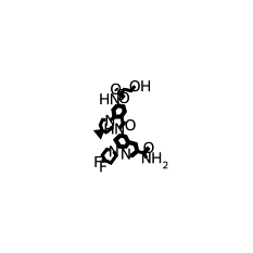 NC(=O)c1cnc2c(N3CCC(F)(F)CC3)cc(NC(=O)c3ccc(NS(=O)(=O)CCO)cc3N3CCC4(CC3)CC4)cc2c1